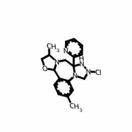 Cc1ccc2c(c1)N1CN(Cl)NC1(c1ccccn1)CN1C(C)COC21